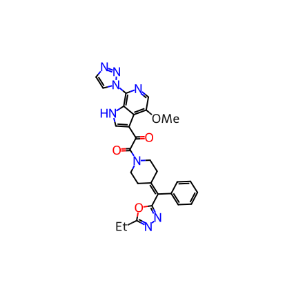 CCc1nnc(C(=C2CCN(C(=O)C(=O)c3c[nH]c4c(-n5ccnn5)ncc(OC)c34)CC2)c2ccccc2)o1